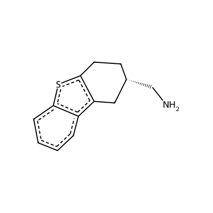 NC[C@H]1CCc2sc3ccccc3c2C1